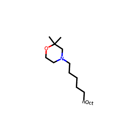 CCCCCCCCCCCCCN1CCOC(C)(C)C1